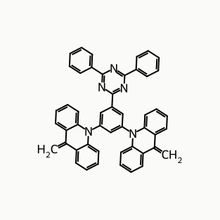 C=C1c2ccccc2N(c2cc(-c3nc(-c4ccccc4)nc(-c4ccccc4)n3)cc(N3c4ccccc4C(=C)c4ccccc43)c2)c2ccccc21